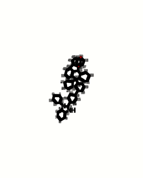 c1ccc(N2c3ccccc3NC2c2ccc(-c3cccc(C4(c5ccccc5)c5ccccc5C5(c6ccccc6)c6ccccc6-c6cccc4c65)c3)cc2)cc1